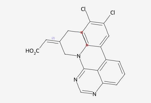 O=C(O)/C=C1/CCCN(c2ncnc3cccc(-c4ccc(Cl)c(Cl)c4)c23)C1